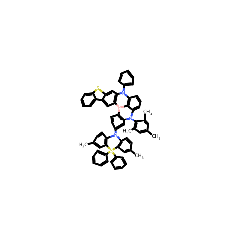 Cc1cc(C)c(N2c3cc(N4c5ccc(C)cc5S(c5ccccc5)(c5ccccc5)c5cc(C)ccc54)ccc3B3c4cc5c(cc4N(c4ccccc4)c4cccc2c43)sc2ccccc25)c(C)c1